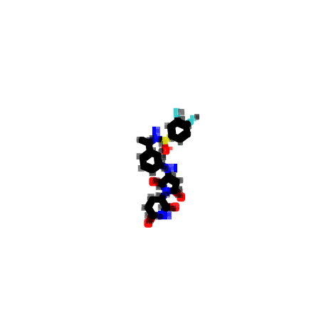 CC(N[S+]([O-])c1ccc(F)c(F)c1)c1cccc(NC2=CC(=O)N(C3CCC(=O)NC3=O)C2=O)c1